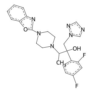 CC(N1CCN(c2nc3ccccc3o2)CC1)C(O)(Cn1cncn1)c1ccc(F)cc1F